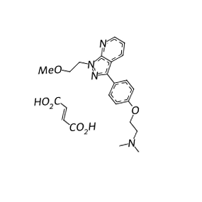 COCCn1nc(-c2ccc(OCCN(C)C)cc2)c2cccnc21.O=C(O)C=CC(=O)O